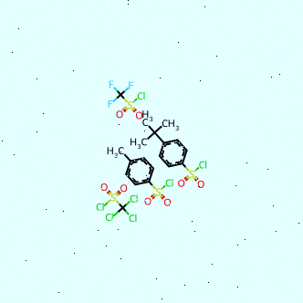 CC(C)(C)c1ccc(S(=O)(=O)Cl)cc1.Cc1ccc(S(=O)(=O)Cl)cc1.O=S(=O)(Cl)C(Cl)(Cl)Cl.O=S(=O)(Cl)C(F)(F)F